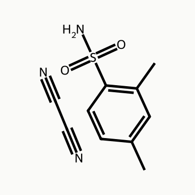 Cc1ccc(S(N)(=O)=O)c(C)c1.N#CC#N